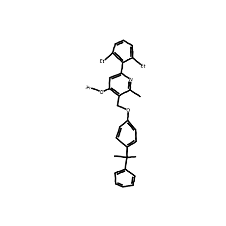 CCc1cccc(CC)c1-c1cc(OC(C)C)c(COc2ccc(C(C)(C)c3ccccc3)cc2)c(C)n1